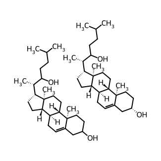 CC(C)CCC(O)[C@@H](C)[C@H]1CC[C@H]2[C@@H]3CC=C4CC(O)CC[C@]4(C)[C@H]3CC[C@]12C.CC(C)CCC(O)[C@@H](C)[C@H]1CC[C@H]2[C@@H]3CC=C4C[C@@H](O)CC[C@]4(C)[C@H]3CC[C@]12C